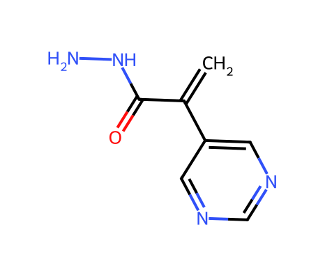 C=C(C(=O)NN)c1cncnc1